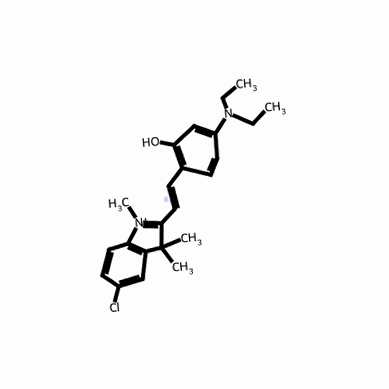 CCN(CC)c1ccc(/C=C/C2=[N+](C)c3ccc(Cl)cc3C2(C)C)c(O)c1